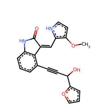 COc1cc[nH]c1/C=C1\C(=O)Nc2cccc(C#CC(O)c3ccco3)c21